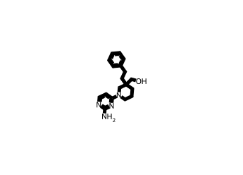 Nc1nccc(N2CCCC(CO)(CCc3ccccc3)C2)n1